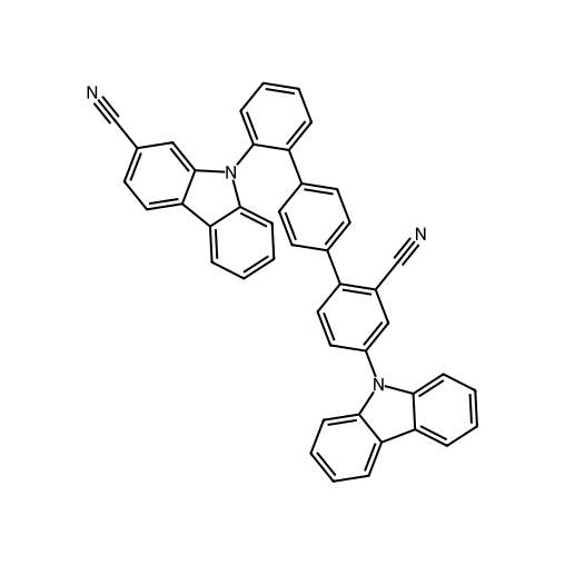 N#Cc1ccc2c3ccccc3n(-c3ccccc3-c3ccc(-c4ccc(-n5c6ccccc6c6ccccc65)cc4C#N)cc3)c2c1